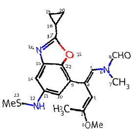 CO/C(C)=C/C(=C\N(C)C=O)c1cc(NSC)cc2nc(C3CC3)oc12